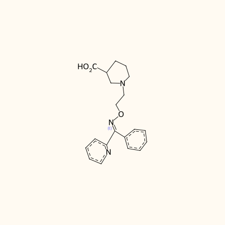 O=C(O)C1CCCN(CCO/N=C(\c2ccccc2)c2ccccn2)C1